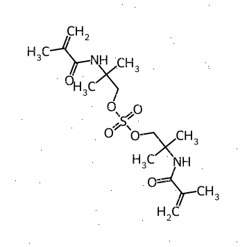 C=C(C)C(=O)NC(C)(C)COS(=O)(=O)OCC(C)(C)NC(=O)C(=C)C